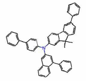 CC1(C)c2ccc(-c3ccccc3)cc2-c2ccc(N(c3ccc(-c4ccccc4)cc3)c3cc(-c4ccccc4)c4ccccc4c3)cc21